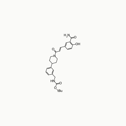 CC(C)(C)OC(=O)NCc1cccc(C2CCN(C(=O)/C=C/c3ccc(O)c(C(N)=O)c3)CC2)c1